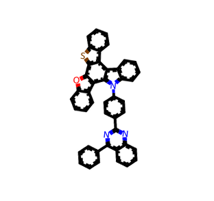 c1ccc(-c2nc(-c3ccc(-n4c5ccccc5c5c6c7ccccc7sc6c6oc7ccccc7c6c54)cc3)nc3ccccc23)cc1